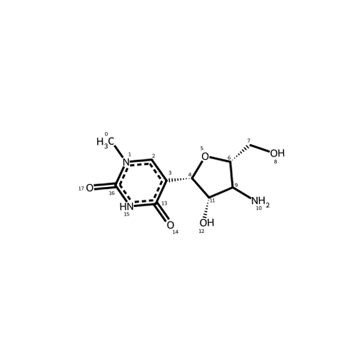 Cn1cc([C@@H]2O[C@H](CO)C(N)[C@@H]2O)c(=O)[nH]c1=O